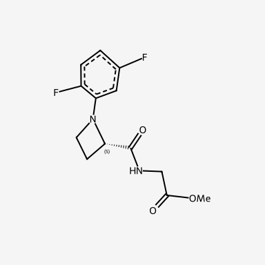 COC(=O)CNC(=O)[C@@H]1CCN1c1cc(F)ccc1F